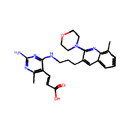 Cc1nc(N)nc(NCCCc2cc3cccc(C)c3nc2N2CCOCC2)c1C=CC(=O)O